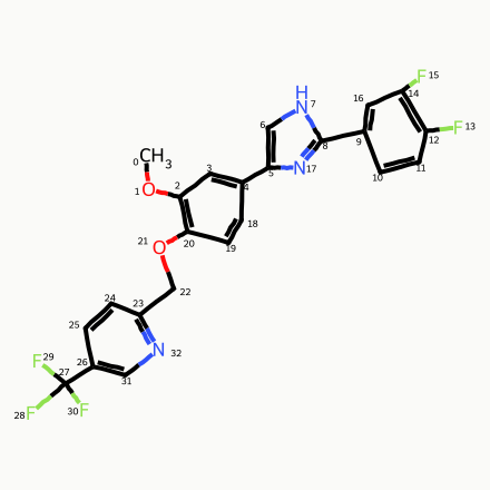 COc1cc(-c2c[nH]c(-c3ccc(F)c(F)c3)n2)ccc1OCc1ccc(C(F)(F)F)cn1